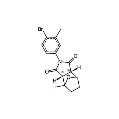 Cc1cc(N2C(=O)[C@@H]3C4CCC(C)(O4)[C@@H]3C2=O)ccc1Br